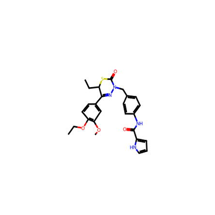 CCOc1ccc(C2=NN(Cc3ccc(NC(=O)c4ccc[nH]4)cc3)C(=O)SC2CC)cc1OC